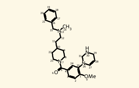 COc1ccc(C(=O)N2CCC(CCN(C)Cc3ccccc3)CC2)cc1N1C=CCNC1